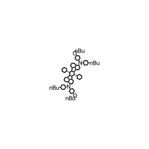 CCCCOc1ccc(N(c2ccc(CCCC)cc2)c2ccc3c4c(-c5ccccc5)c5c6ccc(N(c7ccc(CCCC)cc7)c7ccc(OCCCC)cc7)c7cccc(c5c(-c5ccccc5)c4c4cccc2c43)c76)cc1